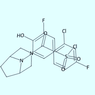 O=C(c1ccc(F)cc1Cl)N1CC2CCC(C1)N2c1cc(S(=O)(=O)Cl)cc(F)c1O